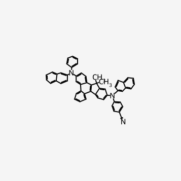 CC1(C)c2cc(N(c3ccc(C#N)cc3)c3ccc4ccccc4c3)ccc2-c2c1c1ccc(N(c3ccccc3)c3ccc4ccccc4c3)cc1c1ccccc21